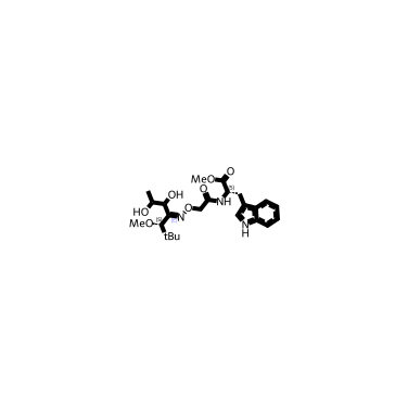 COC(=O)[C@H](Cc1c[nH]c2ccccc12)NC(=O)CO/N=C(\C(O)C(C)O)[C@@H](OC)C(C)(C)C